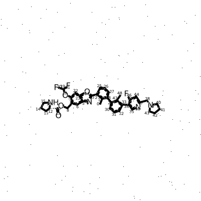 Cc1c(-c2nc3cc(COC(=O)[C@@H]4CCCN4)c(OC(F)F)cc3o2)cccc1-c1cccc(-c2cnc(CN3CCCC3)cc2F)c1C